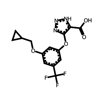 O=C(O)c1[nH]nnc1Oc1cc(OCC2CC2)cc(C(F)(F)F)c1